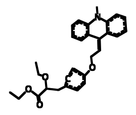 CCOC(=O)C(Cc1ccc(OCC=C2c3ccccc3N(C)c3ccccc32)cc1)OCC